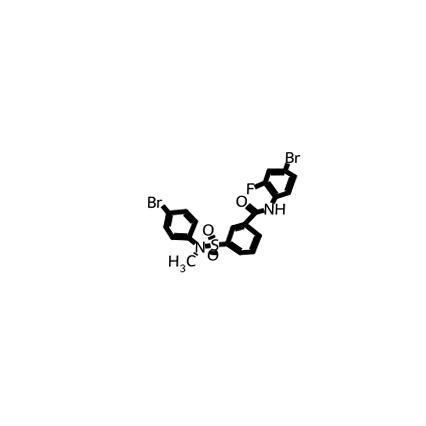 CN(c1ccc(Br)cc1)S(=O)(=O)c1cccc(C(=O)Nc2ccc(Br)cc2F)c1